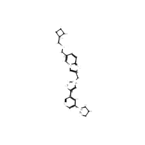 c1cc2nc(Cn3cc(-c4cncc(N5CCCO5)c4)nn3)cn2cc1CNCC1CCC1